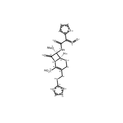 CO[C@@]1(NC(=O)C(=S=O)c2cccs2)C(=O)N2C(C(=O)O)=C(CSc3nnco3)CS[C@@H]21